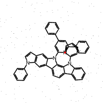 c1ccc(-c2cc(-c3ccccc3)nc(-n3c4cc5ccn(-c6ccccc6)c5cc4c4ccc5c6ccccc6n(-c6ccccc6)c5c43)c2)cc1